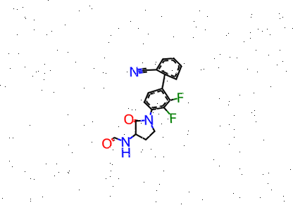 N#Cc1ccccc1-c1ccc(N2CCC(NC=O)C2=O)c(F)c1F